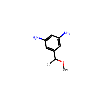 CCCOC(CC)c1cc(N)cc(N)c1